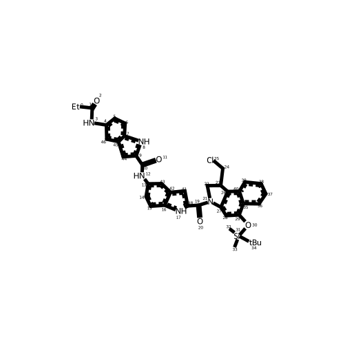 CCC(=O)Nc1ccc2[nH]c(C(=O)Nc3ccc4[nH]c(C(=O)N5CC(CCl)c6c5cc(O[Si](C)(C)C(C)(C)C)c5ccccc65)cc4c3)cc2c1